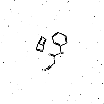 C#CCC(=O)Nc1ccccc1.c1cc2ccc1-2